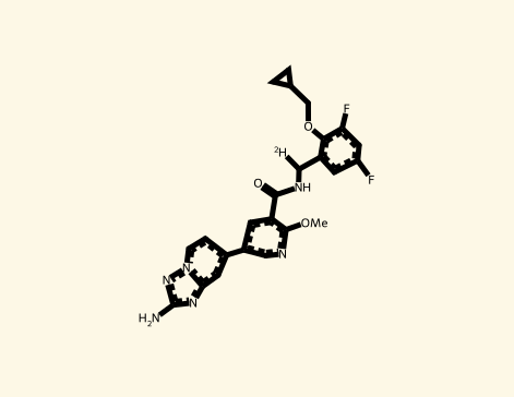 [2H]C(NC(=O)c1cc(-c2ccn3nc(N)nc3c2)cnc1OC)c1cc(F)cc(F)c1OCC1CC1